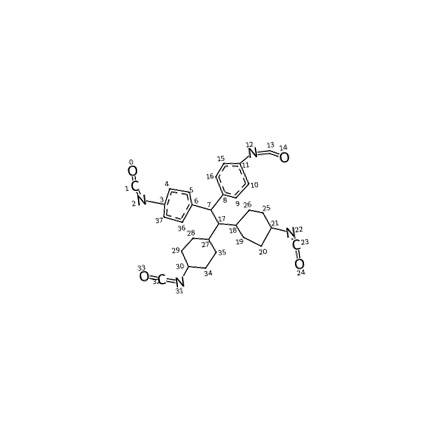 O=C=Nc1ccc(C(c2ccc(N=C=O)cc2)C(C2CCC(N=C=O)CC2)C2CCC(N=C=O)CC2)cc1